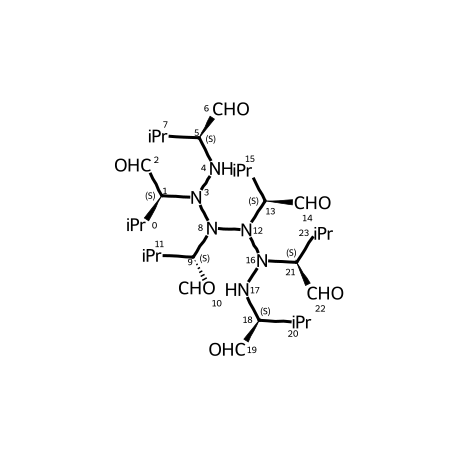 CC(C)[C@@H](C=O)N(N[C@H](C=O)C(C)C)N([C@H](C=O)C(C)C)N([C@H](C=O)C(C)C)N(N[C@H](C=O)C(C)C)[C@H](C=O)C(C)C